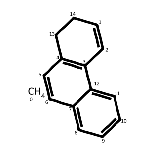 C.C1=Cc2c(ccc3ccccc23)CC1